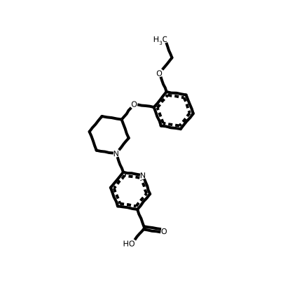 CCOc1ccccc1OC1CCCN(c2ccc(C(=O)O)cn2)C1